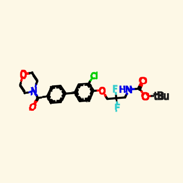 CC(C)(C)OC(=O)NCC(F)(F)COc1ccc(-c2ccc(C(=O)N3CCOCC3)cc2)cc1Cl